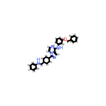 c1ccc(COc2cccc(Nc3nccn4c(C5CCC(CNc6ccccc6)CC5)ncc34)c2)cc1